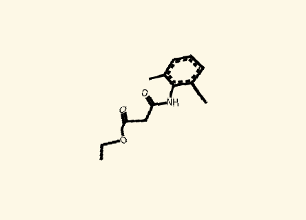 CCOC(=O)CC(=O)Nc1c(C)cccc1C